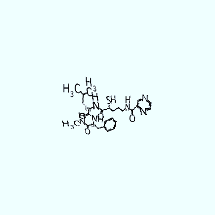 CNC(=O)[C@H](Cc1ccccc1)NC(=O)[C@H](CC(C)C)NC(=O)C(S)CCCNC(=O)c1cnccn1